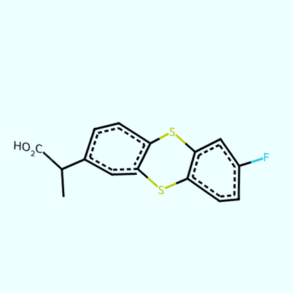 CC(C(=O)O)c1ccc2c(c1)Sc1ccc(F)cc1S2